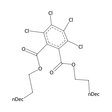 CCCCCCCCCCCCOC(=O)c1c(Cl)c(Cl)c(Cl)c(Cl)c1C(=O)OCCCCCCCCCCCC